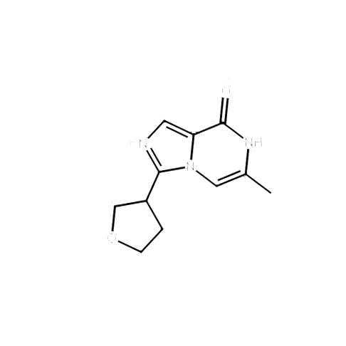 Cc1cn2c(C3CCOC3)ncc2c(=O)[nH]1